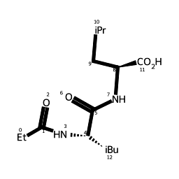 CCC(=O)N[C@H](C(=O)N[C@@H](CC(C)C)C(=O)O)[C@@H](C)CC